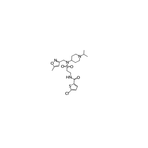 Cc1cc(CN(C2CCN(C(C)C)CC2)S(=O)(=O)CCNC(=O)c2ccc(Cl)s2)no1